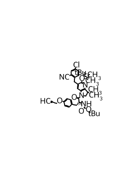 C#CCOc1ccc(C[C@H](NC(=O)OC(C)(C)C)C(=O)N2CC(C)(C)c3nc(O[Si](C)(C)C(C)(C)C)c(Cc4ccc(Cl)cc4C#N)cc32)cc1